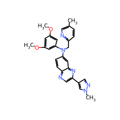 COc1cc(OC)cc(N(Cc2ccc(C)cn2)c2ccc3ncc(-c4cnn(C)c4)nc3c2)c1